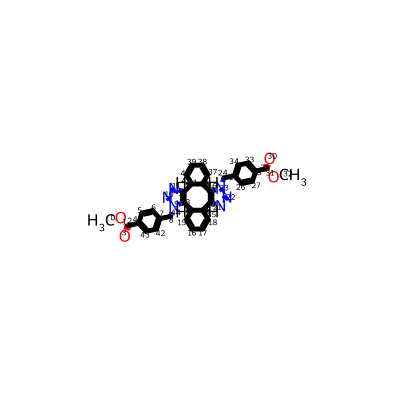 COC(=O)c1ccc(Cn2nnc3c2[C@H]2C=CC=C[C@H]2c2nnn(Cc4ccc(C(=O)OC)cc4)c2[C@H]2C=CC=C[C@@H]32)cc1